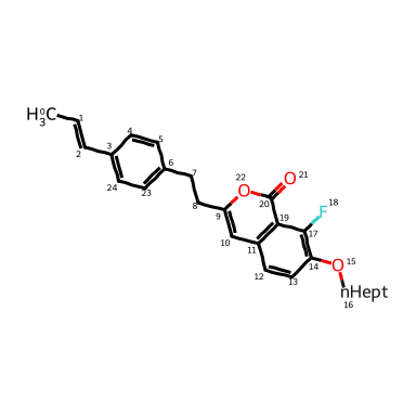 C/C=C/c1ccc(CCc2cc3ccc(OCCCCCCC)c(F)c3c(=O)o2)cc1